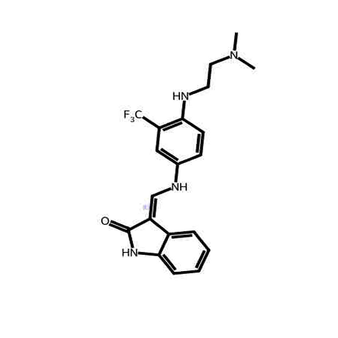 CN(C)CCNc1ccc(N/C=C2/C(=O)Nc3ccccc32)cc1C(F)(F)F